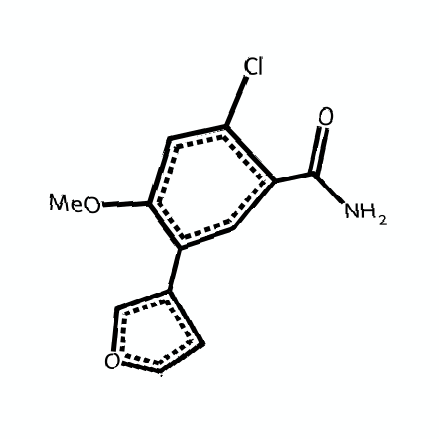 COc1cc(Cl)c(C(N)=O)cc1-c1c[c]oc1